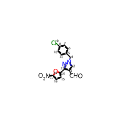 O=Cc1cn(Cc2ccc(Cl)cc2)nc1-c1ccc([N+](=O)[O-])o1